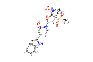 CC(CCn1ccc(-c2cc3ccccc3[nH]2)cc1=O)(C(=O)NO)S(C)(=O)=O